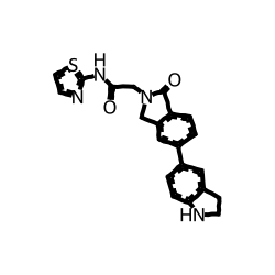 O=C(CN1Cc2cc(-c3ccc4c(c3)CCN4)ccc2C1=O)Nc1nccs1